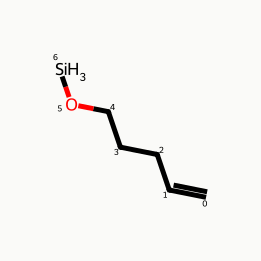 C=CCCCO[SiH3]